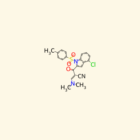 Cc1ccc(S(=O)(=O)n2c(C(=O)C(C#N)=CN(C)C)cc3c(Cl)cccc32)cc1